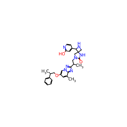 Cc1cc(OC[C@H](C)c2ccccc2)cn2nc(C(C)CN3CC4(CNC4c4ccnc(O)c4)NC3=O)nc12